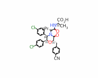 CCC[C@H](C(=O)N[C@@H](C)C(=O)O)N1C(=O)[C@H](Cc2ccc(C#N)cc2)O[C@@H](c2ccc(Cl)cc2)[C@H]1c1ccc(Cl)cc1